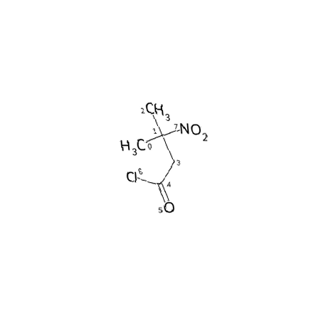 CC(C)(CC(=O)Cl)[N+](=O)[O-]